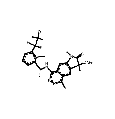 COC1(C)C(=O)N(C)c2cc3c(N[C@H](C)c4cccc(C(F)(F)C(C)(C)O)c4C)nnc(C)c3cc21